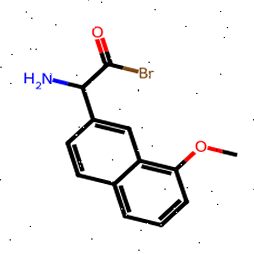 COc1cccc2ccc(C(N)C(=O)Br)cc12